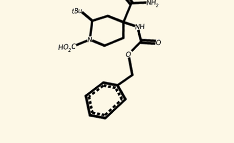 CC(C)(C)C1CC(NC(=O)OCc2ccccc2)(C(N)=O)CCN1C(=O)O